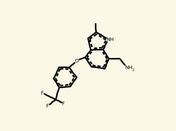 Cc1cc2c(Oc3ccc(C(F)(F)F)cc3)ccc(CN)c2[nH]1